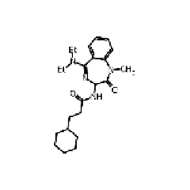 CCN(CC)C1=NC(NC(=O)CCC2CCCCC2)C(=O)N(C)c2ccccc21